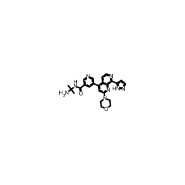 CC(C)(N)NC(=O)c1cncc(-c2cc(N3CCOCC3)nc3c(-c4ccn[nH]4)nccc23)c1